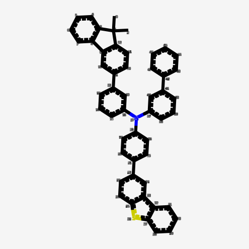 CC1(C)c2ccccc2-c2cc(-c3cccc(N(c4ccc(-c5ccc6sc7ccccc7c6c5)cc4)c4cccc(-c5ccccc5)c4)c3)ccc21